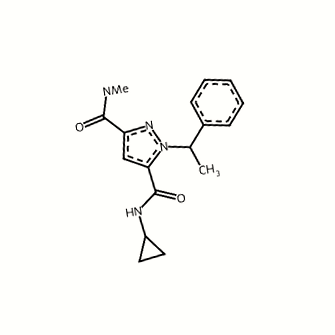 CNC(=O)c1cc(C(=O)NC2CC2)n(C(C)c2ccccc2)n1